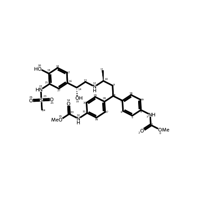 COC(=O)Nc1ccc(C(C[C@H](C)NC[C@H](O)c2ccc(O)c(NS(C)(=O)=O)c2)c2ccc(NC(=O)OC)cc2)cc1